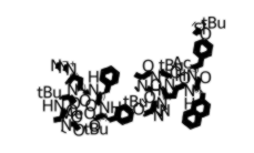 COC(=O)[C@H](Cc1ccc(OCc2cn([C@H]3CC(C(=O)N[C@@H](Cc4ccc5ccccc5c4)C(=O)N[C@@H](Cc4ccc(O[Si](C)(C)C(C)(C)C)cc4)C(C)=O)N(C(=O)[C@@H](NC(=O)C(C)N(C)C(=O)OC(C)(C)C)C(C)(C)C)C3)nn2)cc1)NC(=O)[C@H](Cc1ccccc1)NC(=O)[C@@H]1C[C@H](N=[N+]=[N-])CN1C(=O)C(NC(=O)C(C)N(C)C(=O)OC(C)(C)C)C(C)(C)C